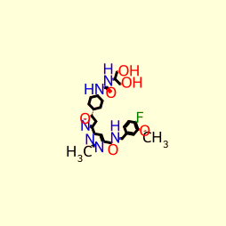 COc1cc(CNC(=O)c2cc(C3=NOC([C@H]4CC[C@@H](NC(=O)NC(CO)CO)CC4)C3)nc(C)n2)ccc1F